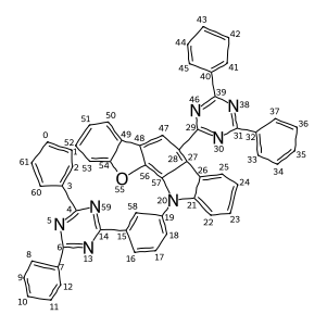 c1ccc(-c2nc(-c3ccccc3)nc(-c3cccc(-n4c5ccccc5c5c(-c6nc(-c7ccccc7)nc(-c7ccccc7)n6)cc6c7ccccc7oc6c54)c3)n2)cc1